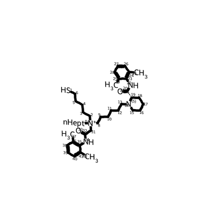 CCCCCCC[N+](CCCCCS)(CCCCCCN1CCCC[C@H]1C(=O)Nc1c(C)cccc1C)CC(=O)Nc1c(C)cccc1C